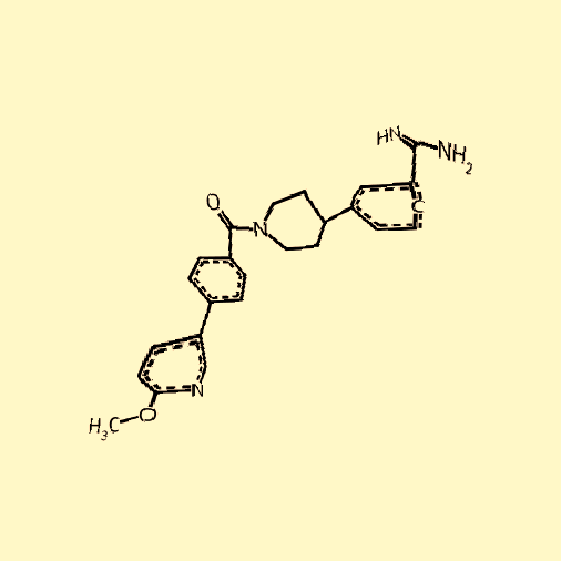 COc1ccc(-c2ccc(C(=O)N3CCC(c4cccc(C(=N)N)c4)CC3)cc2)cn1